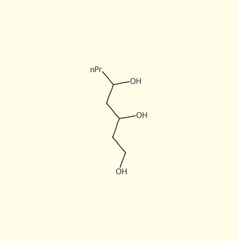 CCCC(O)CC(O)CCO